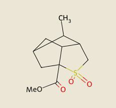 COC(=O)C12CC3CC1C(CS2(=O)=O)C3C